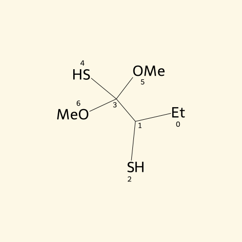 CCC(S)C(S)(OC)OC